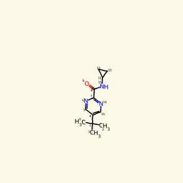 CC(C)(C)c1cnc(C(=O)NC2CC2)nc1